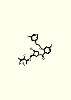 CC(=N/C=C1\CN(C(=O)c2ccc(F)cc2OCCc2cncc(F)c2)CC1=N)/C(Cl)=C(/C)N